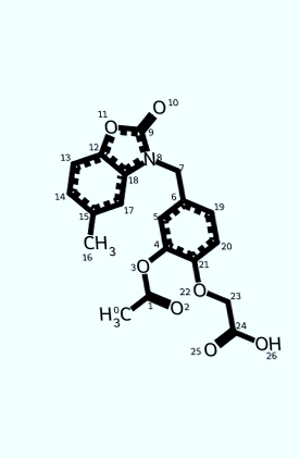 CC(=O)Oc1cc(Cn2c(=O)oc3ccc(C)cc32)ccc1OCC(=O)O